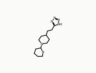 C1CCC(N2CCC(CCc3nnn[nH]3)CC2)[N]C1